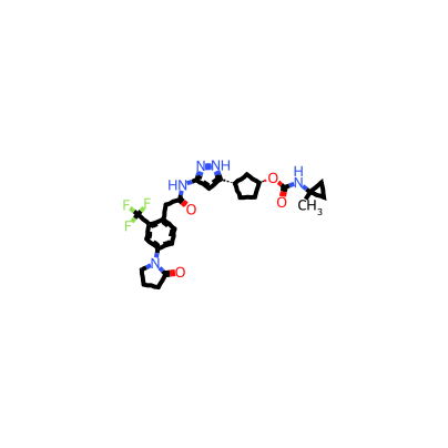 CC1(NC(=O)O[C@@H]2CC[C@H](c3cc(NC(=O)Cc4ccc(N5CCCC5=O)cc4C(F)(F)F)n[nH]3)C2)CC1